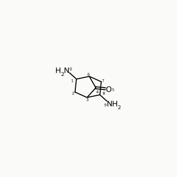 NC1CC2C(=O)C1CC2N